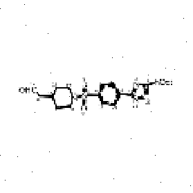 CCCCCCCCc1nc(-c2ccc(S(=O)(=O)N3CCC(CC=O)CC3)cc2)no1